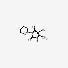 Cc1[nH]c(=O)n(C2CCCCO2)c(=O)c1C(C)C